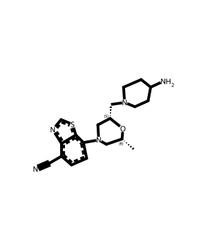 C[C@@H]1CN(c2ccc(C#N)c3ncsc23)C[C@H](CN2CCC(N)CC2)O1